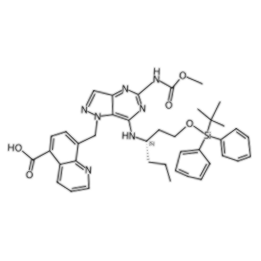 CCC[C@@H](CCO[Si](c1ccccc1)(c1ccccc1)C(C)(C)C)Nc1nc(NC(=O)OC)nc2cnn(Cc3ccc(C(=O)O)c4cccnc34)c12